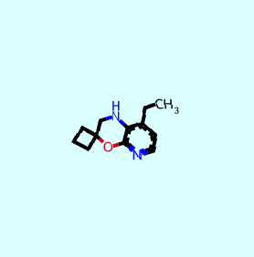 CCc1ccnc2c1NCC1(CCC1)O2